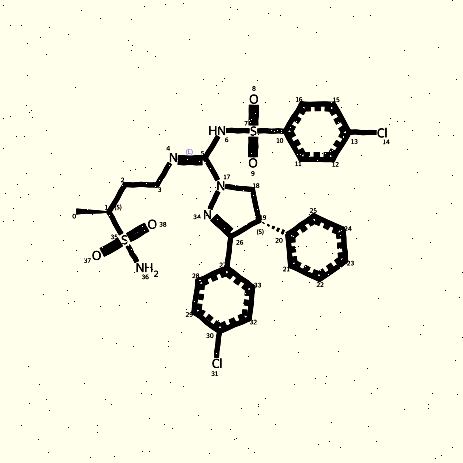 C[C@@H](CC/N=C(/NS(=O)(=O)c1ccc(Cl)cc1)N1C[C@H](c2ccccc2)C(c2ccc(Cl)cc2)=N1)S(N)(=O)=O